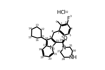 Cc1c(F)cccc1Cc1c(C2CCCCC2)c2ccccn2c1C(=O)N1CCNCC1.Cl